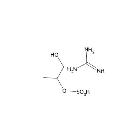 CC(CO)OS(=O)(=O)O.N=C(N)N